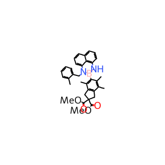 COC(=O)C1(C(=O)OC)Cc2c(C)c(C)c(B3Nc4cccc5cccc(c45)N3Cc3ccccc3C)c(C)c2C1